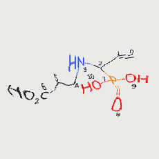 C=CC(NCCC(=O)O)P(=O)(O)O